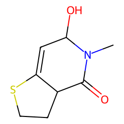 CN1C(=O)C2CCSC2=CC1O